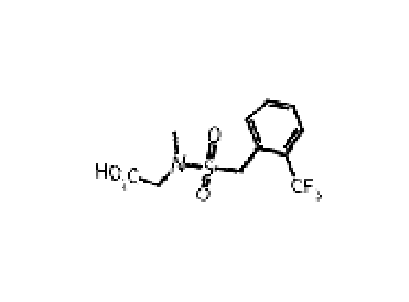 CN(CC(=O)O)S(=O)(=O)Cc1ccccc1C(F)(F)F